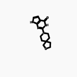 O=c1[nH]c(N2CCC3(CCOC3)CC2)nc2[nH]c[c]c12